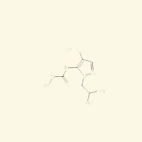 CCCC(O)Cn1ncc(C(=O)OCC)c1NC(=O)NC(C)C